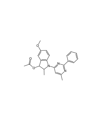 COc1ccc2c(c1)C(OC(C)=O)C(C)N2c1cc(C)nc(-c2ccccc2)n1